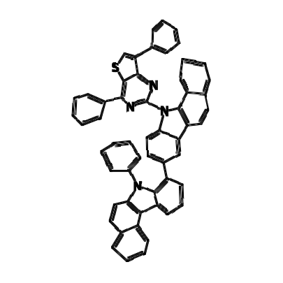 c1ccc(-c2csc3c(-c4ccccc4)nc(-n4c5ccc(-c6cccc7c8c9ccccc9ccc8n(-c8ccccc8)c67)cc5c5ccc6ccccc6c54)nc23)cc1